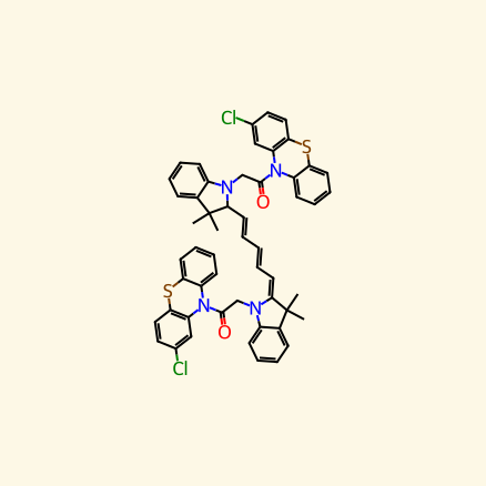 CC1(C)/C(=C/C=C/C=C/C2N(CC(=O)N3c4ccccc4Sc4ccc(Cl)cc43)c3ccccc3C2(C)C)N(CC(=O)N2c3ccccc3Sc3ccc(Cl)cc32)c2ccccc21